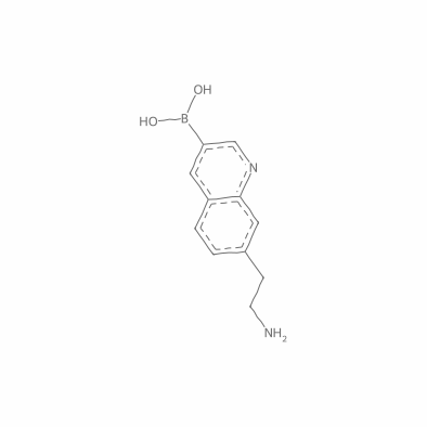 NCCc1ccc2cc(B(O)O)cnc2c1